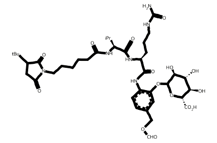 CC(C)[C@H](NC(=O)CCCCCN1C(=O)CC(C(C)(C)C)C1=O)C(=O)N[C@@H](CCCNC(N)=O)C(=O)Nc1ccc(COC=O)cc1OC1O[C@@H](C(=O)O)[C@H](O)[C@@H](O)[C@@H]1O